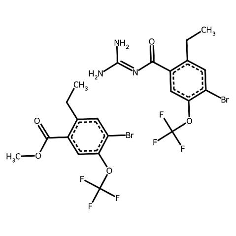 CCc1cc(Br)c(OC(F)(F)F)cc1C(=O)N=C(N)N.CCc1cc(Br)c(OC(F)(F)F)cc1C(=O)OC